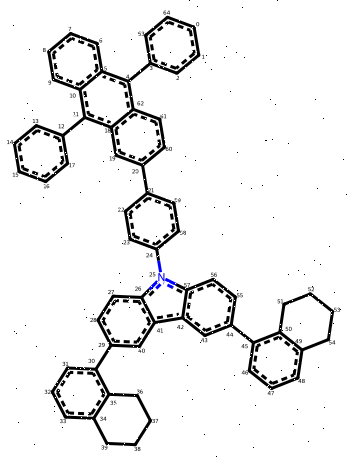 c1ccc(-c2c3ccccc3c(-c3ccccc3)c3cc(-c4ccc(-n5c6ccc(-c7cccc8c7CCCC8)cc6c6cc(-c7cccc8c7CCCC8)ccc65)cc4)ccc23)cc1